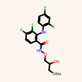 COCC(O)CONC(=O)c1ccc(F)c(F)c1Nc1ccc(F)cc1F